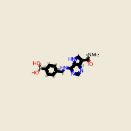 CNC(=O)c1c[nH]c2c(NCc3ccc(B(O)O)cc3)ncnc12